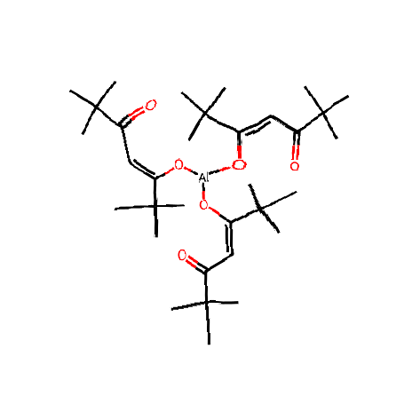 CC(C)(C)C(=O)/C=C(\[O][Al]([O]/C(=C\C(=O)C(C)(C)C)C(C)(C)C)[O]/C(=C\C(=O)C(C)(C)C)C(C)(C)C)C(C)(C)C